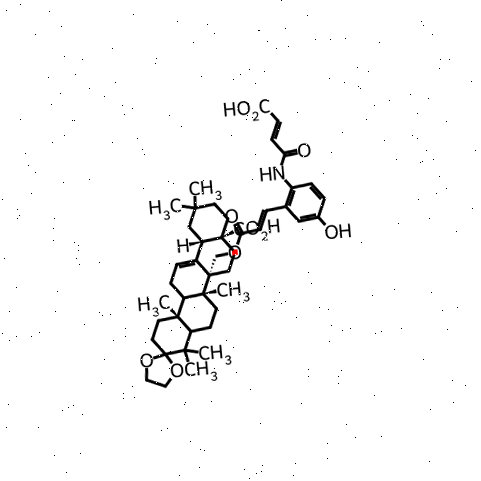 CC1(C)CC[C@]2(C(=O)O)CC[C@]3(COC(=O)/C=C/c4cc(O)ccc4NC(=O)/C=C/C(=O)O)C(=CCC4[C@@]5(C)CCC6(OCCO6)C(C)(C)C5CC[C@]43C)[C@@H]2C1